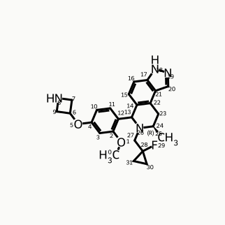 COc1cc(OC2CNC2)ccc1C1c2ccc3[nH]ncc3c2C[C@@H](C)N1CC1(F)CC1